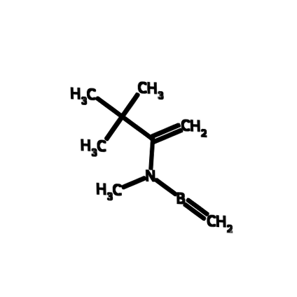 C=BN(C)C(=C)C(C)(C)C